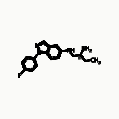 CC[C@H](N)CNc1ccc2c(cnn2-c2ccc(F)cc2)c1